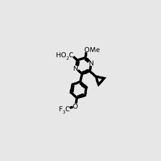 COc1nc(C2CC2)c(-c2ccc(OC(F)(F)F)cc2)nc1C(=O)O